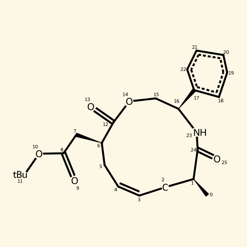 C[C@H]1CC=CC[C@@H](CC(=O)OC(C)(C)C)C(=O)OC[C@@H](c2ccccc2)NC1=O